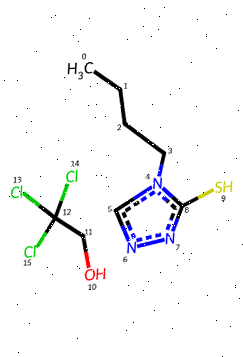 CCCCn1cnnc1S.OCC(Cl)(Cl)Cl